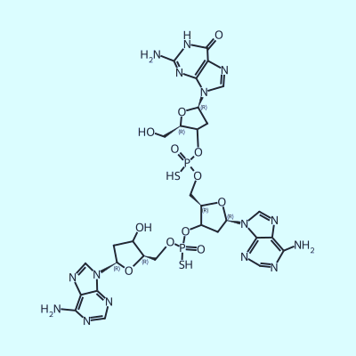 Nc1nc2c(ncn2[C@H]2CC(OP(=O)(S)OC[C@H]3O[C@@H](n4cnc5c(N)ncnc54)CC3OP(=O)(S)OC[C@H]3O[C@@H](n4cnc5c(N)ncnc54)CC3O)[C@@H](CO)O2)c(=O)[nH]1